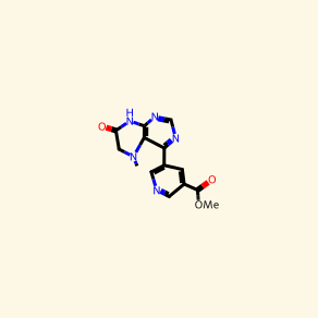 COC(=O)c1cncc(-c2ncnc3c2N(C)CC(=O)N3)c1